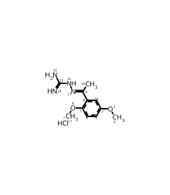 COc1ccc(OC)c(C(C)=NNC(=N)N)c1.Cl